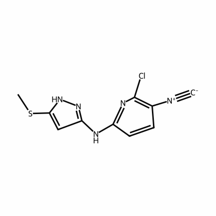 [C-]#[N+]c1ccc(Nc2cc(SC)[nH]n2)nc1Cl